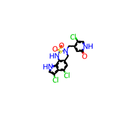 O=c1cc(CN2Cc3cc(Cl)c4c(Cl)c[nH]c4c3NS2(=O)=O)c(Cl)c[nH]1